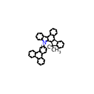 CC1(C)c2ccccc2-c2c1c1c(c3ccccc23)c2ccccc2n1-c1ccc2c3ccccc3c3ccccc3c2c1